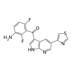 Nc1ccc(F)c(C(=O)c2c[nH]c3ncc(-c4cscn4)cc23)c1F